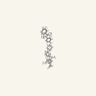 O=C(Nc1ccc(CN2CCN(c3nccc(Nc4cc(C5CC5)[nH]n4)n3)CC2)cc1)c1ccccn1